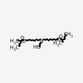 CCCCC(CC)C(=O)OCCCCCCCCCN(CCCO)CCCCCCCCCOC(=O)C(CC)CCCC